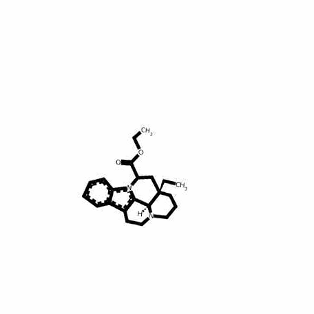 CCOC(=O)C1C[C@]2(CC)CCCN3CCc4c(n1c1ccccc41)[C@H]32